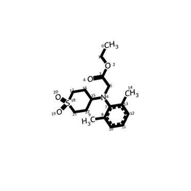 CCOC(=O)CN(c1c(C)cccc1C)C1CCS(=O)(=O)CC1